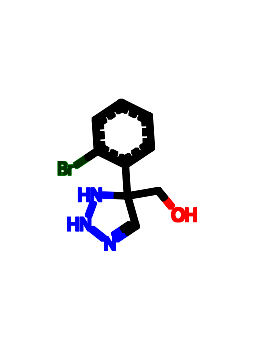 OCC1(c2ccccc2Br)C=NNN1